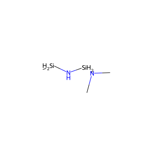 C[SiH2]N[SiH2]N(C)C